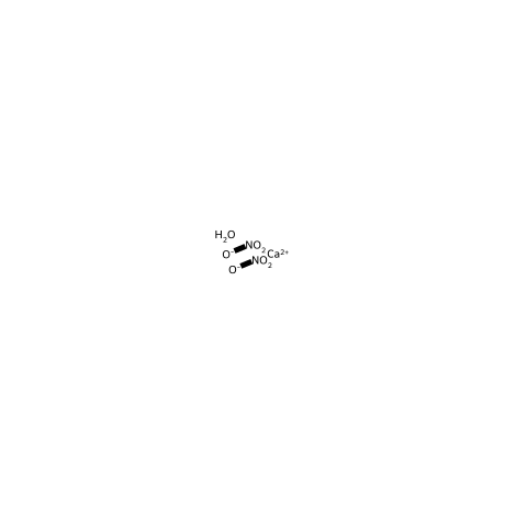 O.O=[N+]([O-])[O-].O=[N+]([O-])[O-].[Ca+2]